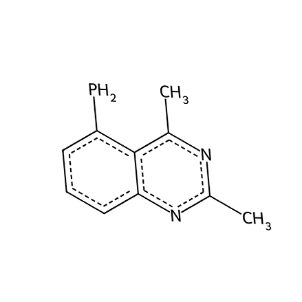 Cc1nc(C)c2c(P)cccc2n1